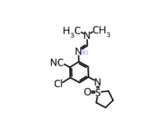 CN(C)/C=N/c1cc(N=S2(=O)CCCC2)cc(Cl)c1C#N